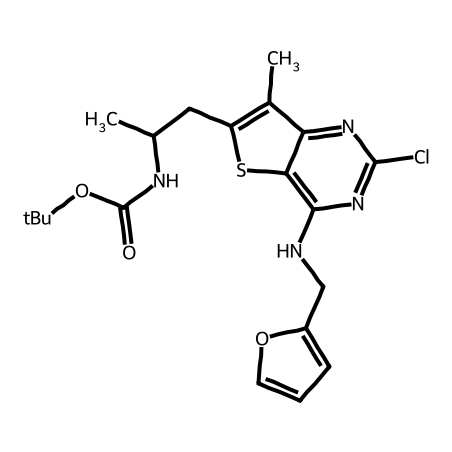 Cc1c(CC(C)NC(=O)OC(C)(C)C)sc2c(NCc3ccco3)nc(Cl)nc12